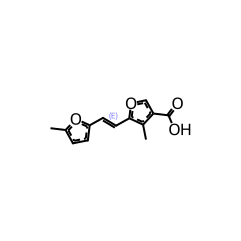 Cc1ccc(/C=C/c2occ(C(=O)O)c2C)o1